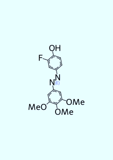 COc1cc(/N=N/c2ccc(O)c(F)c2)cc(OC)c1OC